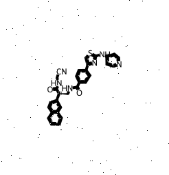 N#CCNC(=O)[C@@H](CNC(=O)c1ccc(-c2csc(Nc3ccncc3)n2)cc1)c1ccc2ccccc2c1